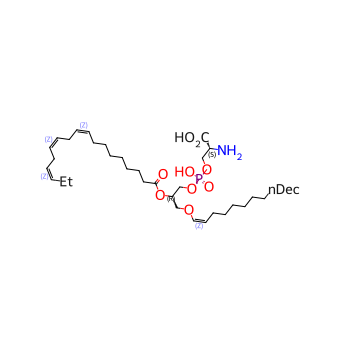 CC/C=C\C/C=C\C/C=C\CCCCCCCC(=O)O[C@H](CO/C=C\CCCCCCCCCCCCCCCC)COP(=O)(O)OC[C@H](N)C(=O)O